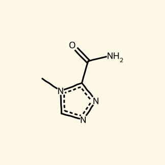 Cn1cnnc1C(N)=O